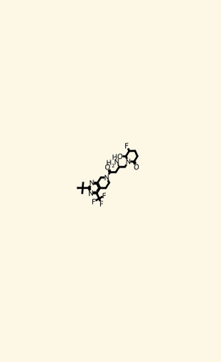 CC(C)(C)c1nc2c(c(C(F)(F)F)n1)CCN(C(=O)C[C@@H](N)CN1C(=O)CCC(F)C1O)C2